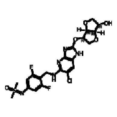 CS(C)(=O)=Nc1cc(F)c(CNc2nc3nc(O[C@@H]4CO[C@H]5[C@@H]4OC[C@H]5O)[nH]c3cc2Cl)c(F)c1